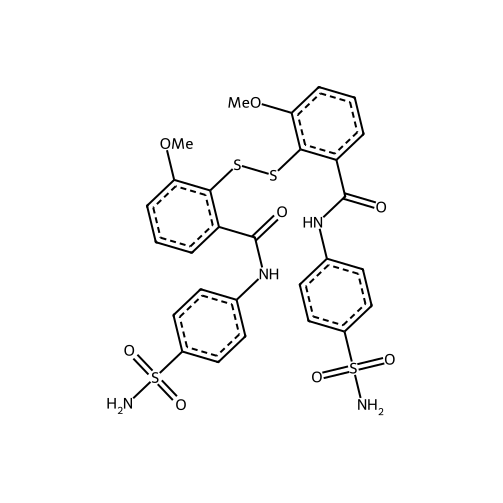 COc1cccc(C(=O)Nc2ccc(S(N)(=O)=O)cc2)c1SSc1c(OC)cccc1C(=O)Nc1ccc(S(N)(=O)=O)cc1